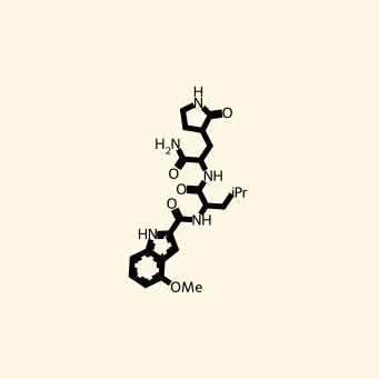 COc1cccc2[nH]c(C(=O)NC(CC(C)C)C(=O)NC(CC3CCNC3=O)C(N)=O)cc12